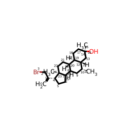 C=C(CBr)[C@H]1CC[C@H]2[C@@H]3C[C@@H](C)[C@H]4C[C@](C)(O)CC[C@@H]4[C@H]3CC[C@]12C